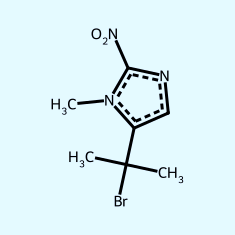 Cn1c(C(C)(C)Br)cnc1[N+](=O)[O-]